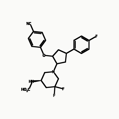 N#Cc1ccc(OC2CC(c3ccc(F)cc3)CC2N2C[C@H](NC(=O)O)CC(F)(F)C2)cc1